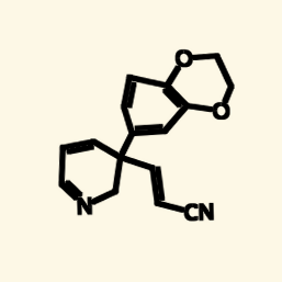 N#CC=CC1(c2ccc3c(c2)OCCO3)C=CC=NC1